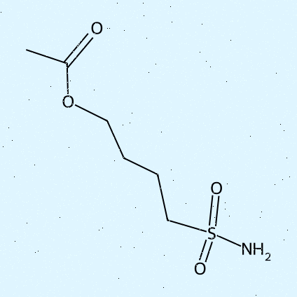 CC(=O)OCCCCS(N)(=O)=O